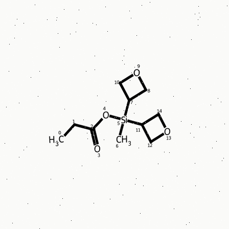 CCC(=O)O[Si](C)(C1COC1)C1COC1